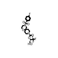 O=C(O[C@H](CO)C(F)(F)F)N1CCC2(CC1)CN(S(=O)(=O)c1ccc(F)cc1)CCO2